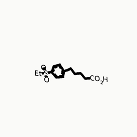 CCS(=O)(=O)c1ccc(CCCCC(=O)O)cc1